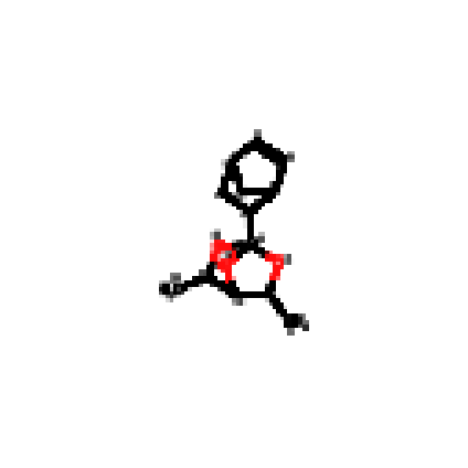 CC1O[Si]2(C3CC4C=CC3C4)OC(C)C1O2